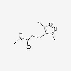 CNC(=O)CCc1c(C)noc1C